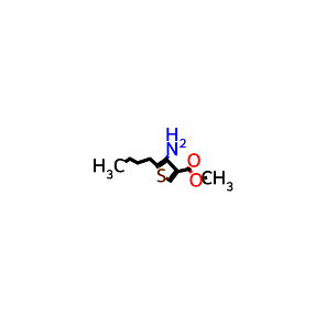 CCCCc1scc(C(=O)OC)c1N